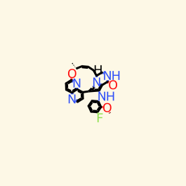 COc1c(F)cccc1Nc1c2cn3c1C(=O)NC[C@@H]3C/C=C\[C@@H](C)Oc1ccc3nccc-2c3n1